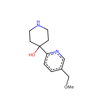 COCc1ccc(C2(O)CCNCC2)nc1